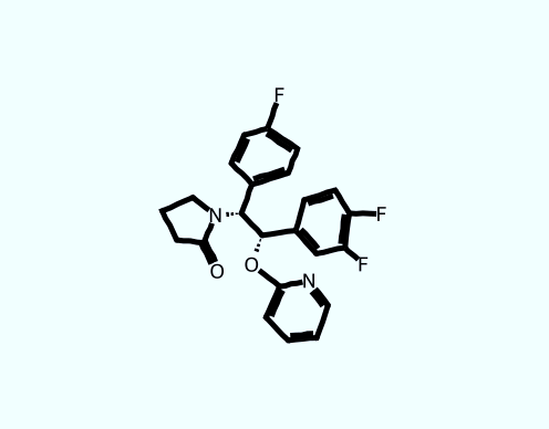 O=C1CCCN1[C@H](c1ccc(F)cc1)[C@@H](Oc1ccccn1)c1ccc(F)c(F)c1